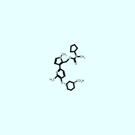 Cc1nc(-c2ccn(C)c2COC(=O)N(C)C2CCCC2)ccc1O[C@H]1CCC[C@H](C(=O)O)C1